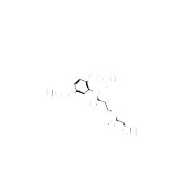 C=CC(=O)OCCC(=O)Oc1cc(C(=O)O)ccc1C(=O)O